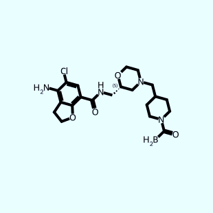 BC(=O)N1CCC(CN2CCO[C@@H](CNC(=O)c3cc(Cl)c(N)c4c3OCC4)C2)CC1